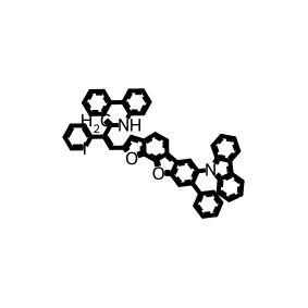 C=C(Nc1ccccc1-c1ccccc1)/C(=C\c1cc2ccc3c4cc(-n5c6ccccc6c6ccccc65)c(-c5ccccc5)cc4oc3c2o1)C1=CC=CC=I1